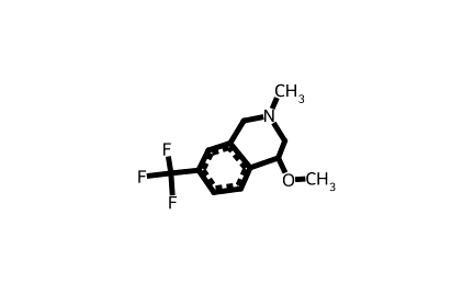 COC1CN(C)Cc2cc(C(F)(F)F)ccc21